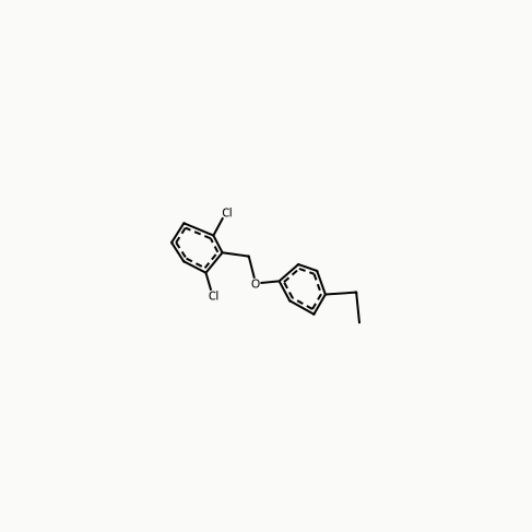 CCc1ccc(OCc2c(Cl)cccc2Cl)cc1